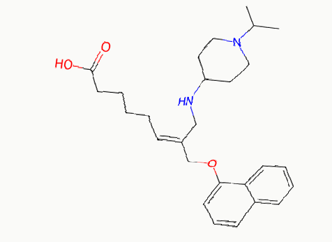 CC(C)N1CCC(NCC(=CCCCCC(=O)O)COc2cccc3ccccc23)CC1